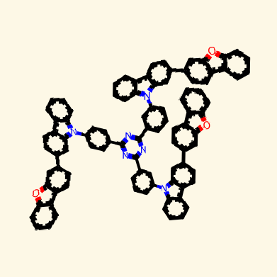 c1cc(-c2nc(-c3ccc(-n4c5ccccc5c5ccc(-c6ccc7c(c6)oc6ccccc67)cc54)cc3)nc(-c3cccc(-n4c5ccccc5c5ccc(-c6ccc7c(c6)oc6ccccc67)cc54)c3)n2)cc(-n2c3ccccc3c3ccc(-c4ccc5c(c4)oc4ccccc45)cc32)c1